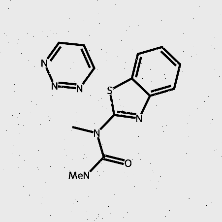 CNC(=O)N(C)c1nc2ccccc2s1.c1cnnnc1